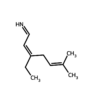 CC/C(=C/C=N)CC=C(C)C